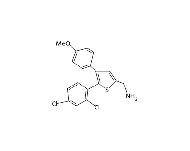 COc1ccc(-c2cc(CN)sc2-c2ccc(Cl)cc2Cl)cc1